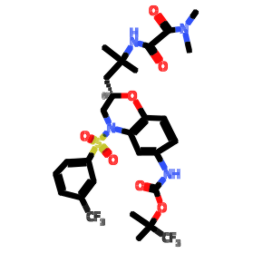 CN(C)C(=O)C(=O)NC(C)(C)C[C@H]1CN(S(=O)(=O)c2cccc(C(F)(F)F)c2)c2cc(NC(=O)OC(C)(C)C(F)(F)F)ccc2O1